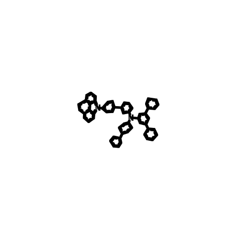 c1ccc(-c2ccc(N(c3cccc(-c4ccc(-n5c6cccc7ccc8cccc5c8c76)cc4)c3)c3cc(-c4ccccc4)cc(-c4ccccc4)c3)cc2)cc1